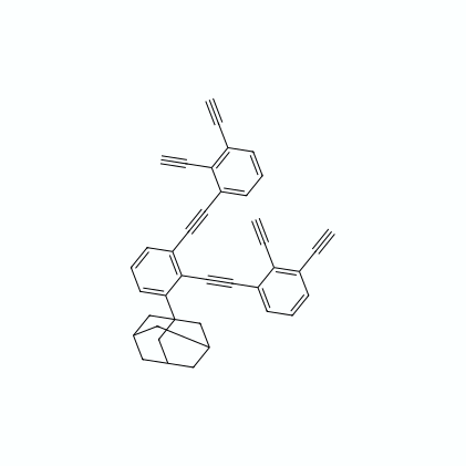 C#Cc1cccc(C#Cc2cccc(C34CC5CC(CC(C5)C3)C4)c2C#Cc2cccc(C#C)c2C#C)c1C#C